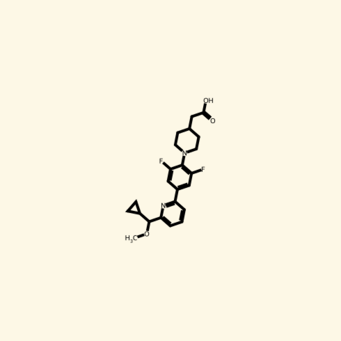 COC(c1cccc(-c2cc(F)c(N3CCC(CC(=O)O)CC3)c(F)c2)n1)C1CC1